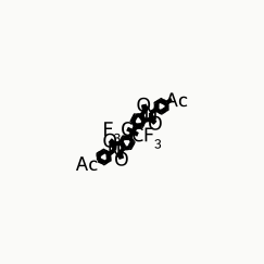 CC(=O)c1ccc(N2C(=O)c3ccc(C(c4ccc5c(c4)C(=O)N(c4ccc(C(C)=O)cc4)C5=O)(C(F)(F)F)C(F)(F)F)cc3C2=O)cc1